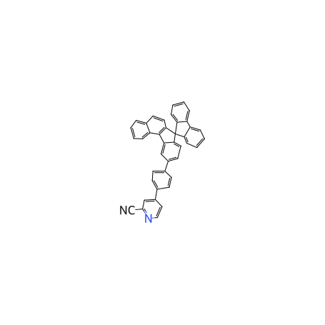 N#Cc1cc(-c2ccc(-c3ccc4c(c3)-c3c(ccc5ccccc35)C43c4ccccc4-c4ccccc43)cc2)ccn1